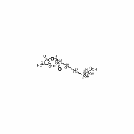 O=CCN1CCN(CC(=O)O)CCN(CC(=O)O)CC1Cc1ccc(NC(=S)NC(CCCCNC(=O)CCCCCCC(=O)NCCCC[C@H](NC(=O)N[C@@H](CCC(=O)O)C(=O)O)C(=O)O)C(=O)OCc2ccccc2)cc1